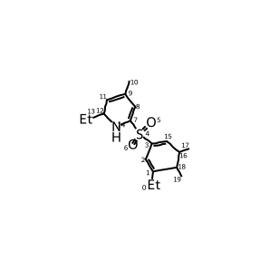 CCC1=CC(S(=O)(=O)C2=CC(C)=CC(CC)N2)=CC(C)C1C